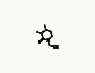 CC1CCN(CC#N)C(=S)C1C